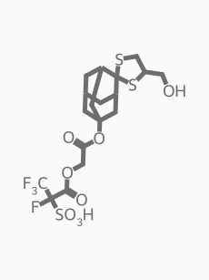 O=C(COC(=O)C(F)(C(F)(F)F)S(=O)(=O)O)OC12CC3CC(C1)C1(SCC(CO)S1)C(C3)C2